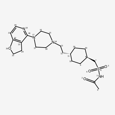 CC(=O)NS(=O)(=O)C[C@H]1CC[C@H](CCN2CCN(c3nccc4c3CCO4)CC2)CC1